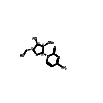 CO[C@@H]1[C@H](O)[C@@H](CO)S[C@H]1n1ccc(N)nc1=O